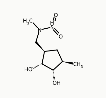 C[C@@H]1C[C@H](CN(C)[SH](=O)=O)[C@@H](O)[C@H]1O